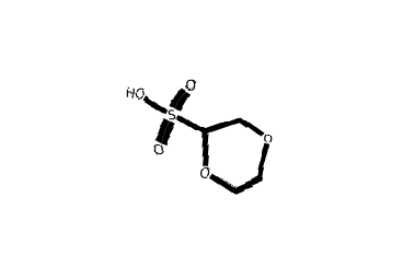 O=S(=O)(O)C1COCCO1